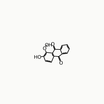 O=C1c2ccccc2C(=O)c2c1ccc(O)c2OO